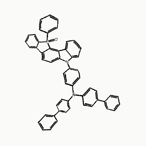 O=P1(c2ccccc2)c2ccccc2-c2ccc3c(c21)c1ccccc1n3-c1ccc(N(c2ccc(-c3ccccc3)cc2)c2ccc(-c3ccccc3)cc2)cc1